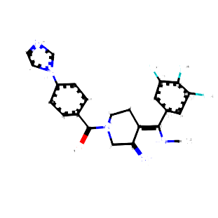 CN/C(=C1/CCN(C(=O)c2ccc(-n3ccnc3)cc2)CC1=N)c1cc(F)c(F)c(F)c1